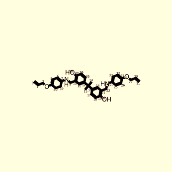 C=CCOC1=CC=C(NCc2cc(C(C)(C)c3ccc(O)c(CNc4ccc(OCC=C)cc4)c3)ccc2O)CC1